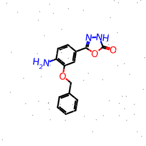 Nc1ccc(-c2n[nH]c(=O)o2)cc1OCc1ccccc1